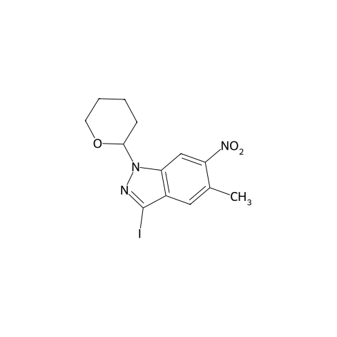 Cc1cc2c(I)nn(C3CCCCO3)c2cc1[N+](=O)[O-]